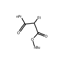 CCCCOC(=O)C(CC)C(=O)CCC